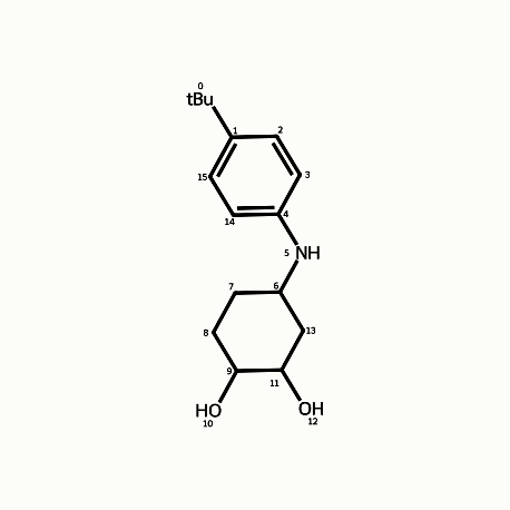 CC(C)(C)c1ccc(NC2CCC(O)C(O)C2)cc1